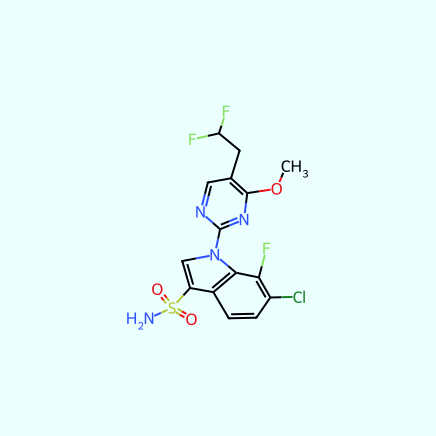 COc1nc(-n2cc(S(N)(=O)=O)c3ccc(Cl)c(F)c32)ncc1CC(F)F